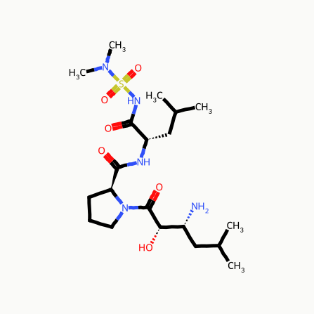 CC(C)C[C@H](NC(=O)[C@@H]1CCCN1C(=O)[C@@H](O)[C@H](N)CC(C)C)C(=O)NS(=O)(=O)N(C)C